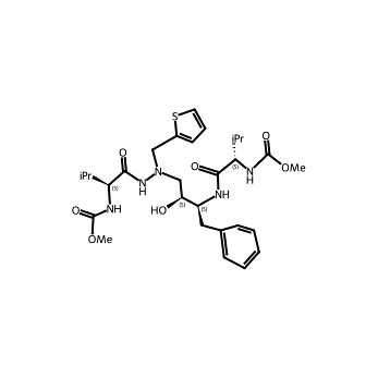 COC(=O)N[C@H](C(=O)N[C@@H](Cc1ccccc1)[C@@H](O)CN(Cc1cccs1)NC(=O)[C@@H](NC(=O)OC)C(C)C)C(C)C